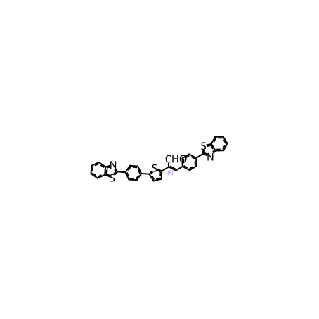 O=C/C(=C\c1ccc(-c2nc3ccccc3s2)cc1)c1ccc(-c2ccc(-c3nc4ccccc4s3)cc2)s1